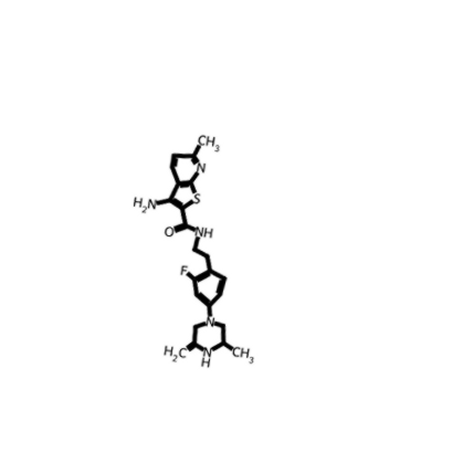 C=C1CN(c2ccc(CCNC(=O)c3sc4nc(C)ccc4c3N)c(F)c2)CC(C)N1